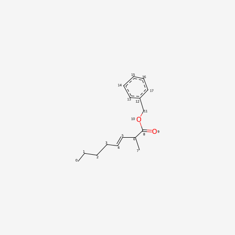 CCCCC=CC(C)C(=O)OCc1ccccc1